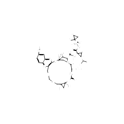 CCOc1ccc2nc3c(nc2c1)O[C@H]1CN(C(=O)[C@H](C(C)(C)C)NC(=O)O[C@@H]2C[C@H]2CCCCC3)[C@H](C(=O)N[C@]2(C(=O)NS(=O)(=O)C3(C)CC3)C[C@H]2C(F)F)[C@@H]1CC